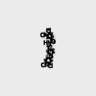 O=C(NCCN1CCN(Cc2ccc(Cl)c(Cl)c2)CC1)c1ccc(Cl)c(Cl)c1